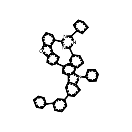 c1ccc(-c2cccc(-c3ccc4c(c3)c3cc(-c5ccc6oc7cccc(-c8nc(-c9ccccc9)nc(-c9ccccc9)n8)c7c6c5)ccc3n4-c3ccccc3)c2)cc1